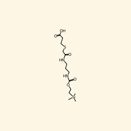 C[Si](C)(C)CCOC(=O)NCCCNC(=O)CSCCC(=O)O